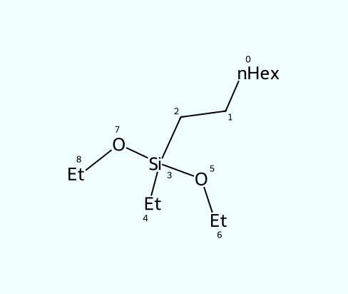 CCCCCCCC[Si](CC)(OCC)OCC